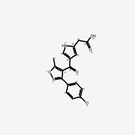 Cc1onc(-c2ccc(Cl)cc2)c1C(=O)c1c[nH]c(CC(=O)O)c1